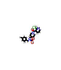 Cc1ccc(CN2CC3(CCN(C(=O)c4cccnc4Cl)CC3)OC2=O)cc1